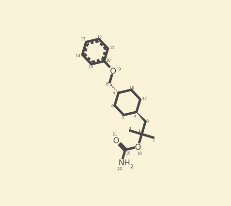 CC(C)(C[C@H]1CC[C@H](COc2ccccc2)CC1)OC(N)=O